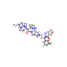 CC(=N)/C(C(=O)N1CC2CN(CC[C@H](NC(=O)C3CCOC3)c3cccc(F)c3)CC2C1)=C(/C)Nc1ccc(C(F)(F)F)cn1